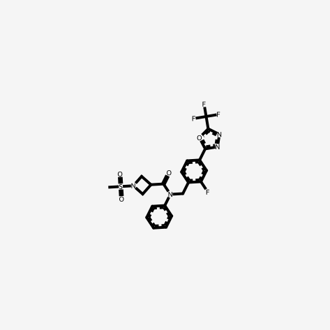 CS(=O)(=O)N1CC(C(=O)N(Cc2ccc(-c3nnc(C(F)(F)F)o3)cc2F)c2ccccc2)C1